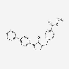 COC(=O)c1ccc(CC2CCN(c3ccc(-c4ccncc4)cc3)C2=O)cc1